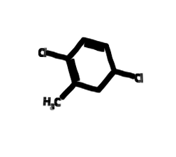 CC1=C(Cl)C=CC(Cl)C1